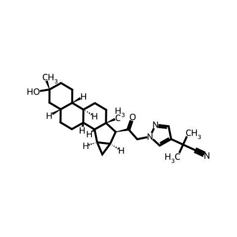 CC(C)(C#N)c1cnn(CC(=O)[C@H]2[C@H]3C[C@H]3[C@H]3[C@@H]4CC[C@@H]5C[C@](C)(O)CC[C@@H]5[C@H]4CC[C@@]32C)c1